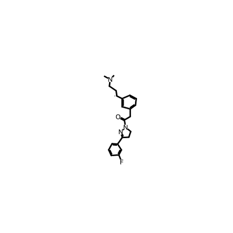 CN(C)CC[CH]c1cccc(CC(=O)N2CCC(c3cccc(F)c3)=N2)c1